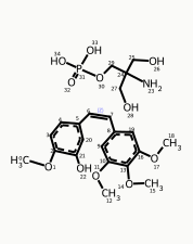 COc1ccc(/C=C\c2cc(OC)c(OC)c(OC)c2)cc1O.NC(CO)(CO)COP(=O)(O)O